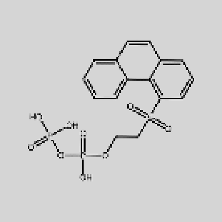 O=P(O)(O)OP(=O)(O)OCCS(=O)(=O)c1cccc2ccc3ccccc3c12